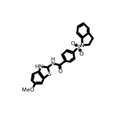 COc1ccc2c(c1)SC(NC(=O)c1ccc(S(=O)(=O)N3CCc4ccccc43)cc1)N2